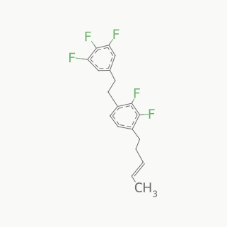 C/C=C/CCc1ccc(CCc2cc(F)c(F)c(F)c2)c(F)c1F